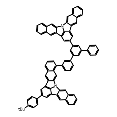 CC(C)(C)c1ccc(-c2cc3c4cc5ccccc5cc4n4c5cc6c(-c7cccc(-c8cc(-c9ccccc9)cc(-c9cc%10c%11cc%12ccccc%12cc%11n%11c%12cc%13ccccc%13cc%12c(c9)c%10%11)c8)c7)cccc6cc5c(c2)c34)cc1